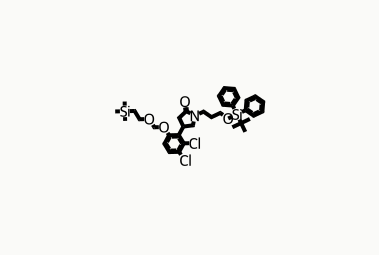 CC(C)(C)[Si](OCCCN1CC(c2c(OCOCC[Si](C)(C)C)ccc(Cl)c2Cl)CC1=O)(c1ccccc1)c1ccccc1